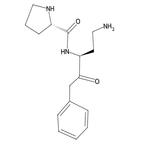 NCC[C@H](NC(=O)[C@@H]1CCCN1)C(=O)Cc1ccccc1